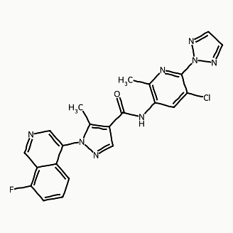 Cc1nc(-n2nccn2)c(Cl)cc1NC(=O)c1cnn(-c2cncc3c(F)cccc23)c1C